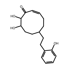 O=C1C=CCCC(CCc2ccccc2O)CCC(O)C1O